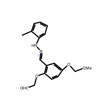 COCOc1ccc(OCC=O)c(/C=N/Nc2ccccc2C)c1